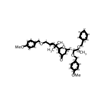 COc1ccc(COC/C=C/C(C)(C)C2=CC(=O)CC(C[C@@H](OCc3ccc(OC)cc3)[C@@H](C)OCc3ccccc3)O2)cc1